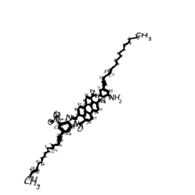 CCCCCCCCCCCCCC#Cc1cc(N)c2nc3c4ccc5c6ccc7c(=O)n8c9cc(C#CCCCCCCCCCCCCC)cc([N+](=O)[O-])c9nc8c8ccc(c9ccc(c(=O)n3c2c1)c4c59)c6c78